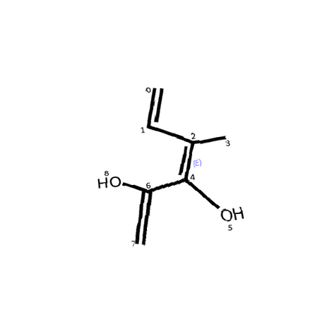 C=C/C(C)=C(/O)C(=C)O